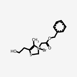 CC1=C(CCO)SC[N+]1(Br)CC(=O)OCc1ccccc1